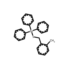 Cc1ccccc1C[S][Sn]([c]1ccccc1)([c]1ccccc1)[c]1ccccc1